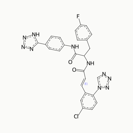 O=C(/C=C/c1cc(Cl)ccc1-n1cnnn1)NC(Cc1ccc(F)cc1)C(=O)Nc1ccc(-c2nnn[nH]2)cc1